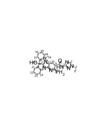 CCn1cnc(NC(=O)c2cc3c(nc2P)nc(C(O)(c2ccccc2)c2ccccc2)n3CC)n1